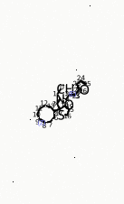 CCN(CC1(C2CC/C=C\CCCC2)CCCS1)C(=O)/C=C/c1ccco1